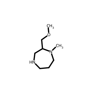 COCC1CNCCCN1C